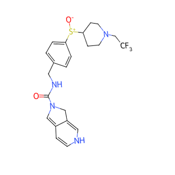 O=C(NCc1ccc([S+]([O-])C2CCN(CC(F)(F)F)CC2)cc1)N1C=C2C=CNC=C2C1